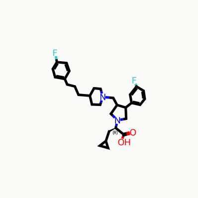 O=C(O)[C@@H](CC1CC1)N1CC(CN2CCC(CCCc3ccc(F)cc3)CC2)C(c2cccc(F)c2)C1